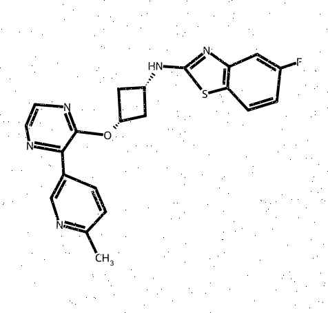 Cc1ccc(-c2nccnc2O[C@H]2C[C@@H](Nc3nc4cc(F)ccc4s3)C2)cn1